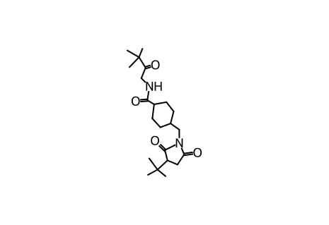 CC(C)(C)C(=O)CNC(=O)C1CCC(CN2C(=O)CC(C(C)(C)C)C2=O)CC1